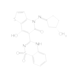 C[C@H]1CCC(=Nn2c(=O)c(C3=NS(=O)(=O)c4ccccc4N3)c(O)c3sccc32)C1